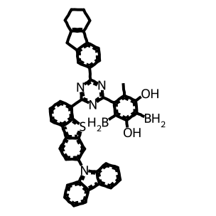 Bc1c(O)c(B)c(-c2nc(-c3ccc4c(c3)CC3=C4CCCC3)nc(-c3cccc4c3sc3cc(-n5c6ccccc6c6ccccc65)ccc34)n2)c(C)c1O